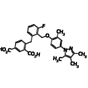 Cc1cc(-n2nc(C)c(C)c2C)ccc1OCc1c(F)cccc1Cc1ccc(C(=O)O)cc1C(=O)O